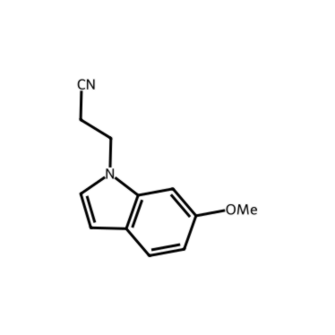 COc1ccc2ccn(CCC#N)c2c1